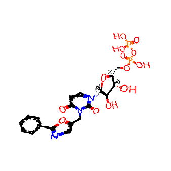 O=c1ccn([C@@H]2O[C@H](COP(=O)(O)OP(=O)(O)O)[C@H](O)C2O)c(=O)n1Cc1cnc(-c2ccccc2)o1